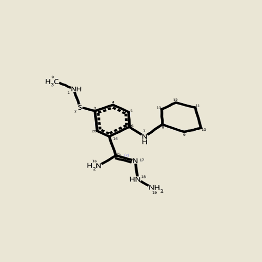 CNSc1ccc(NC2CCCCC2)c(/C(N)=N/NN)c1